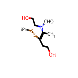 CC(=C(CCO)SSC(C)C)N(C=O)CCO